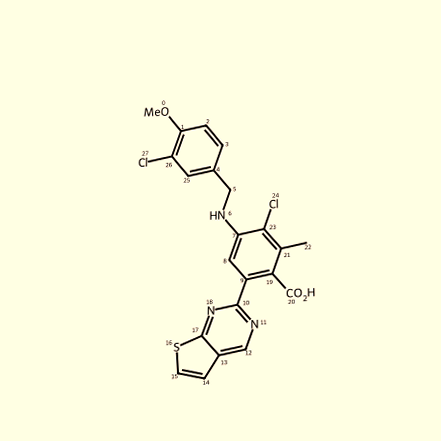 COc1ccc(CNc2cc(-c3ncc4ccsc4n3)c(C(=O)O)c(C)c2Cl)cc1Cl